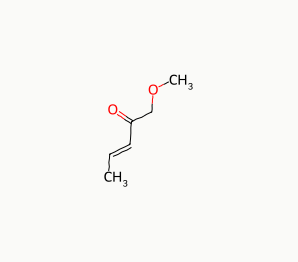 CC=CC(=O)COC